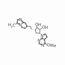 COc1ncnc2c1ccn2[C@@H]1C[C@H](CCc2ccn3c(C)cnc3c2)[C@@H](O)[C@H]1O